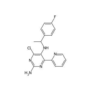 CC(Nc1c(Cl)nc(N)nc1-c1ccccn1)c1ccc(F)cc1